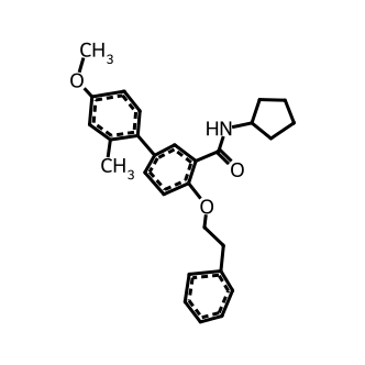 COc1ccc(-c2ccc(OCCc3ccccc3)c(C(=O)NC3CCCC3)c2)c(C)c1